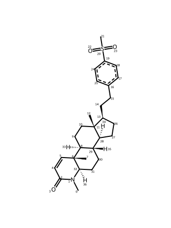 CN1C(=O)C=C[C@]2(C)[C@H]3CC[C@]4(C)[C@@H](CCc5ccc(S(C)(=O)=O)cc5)CC[C@H]4[C@@H]3CC[C@@H]12